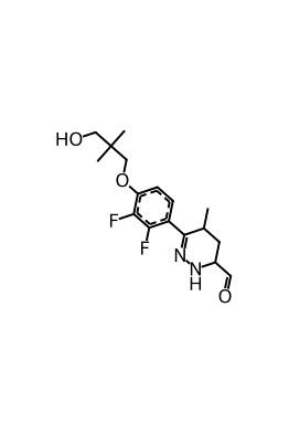 CC1CC(C=O)NN=C1c1ccc(OCC(C)(C)CO)c(F)c1F